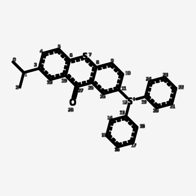 CC(C)c1ccc2sc3ccc([S+](c4ccccc4)c4ccccc4)cc3c(=O)c2c1